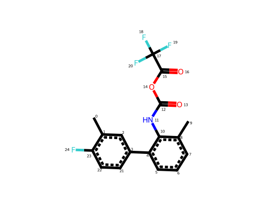 Cc1cc(-c2cccc(C)c2NC(=O)OC(=O)C(F)(F)F)ccc1F